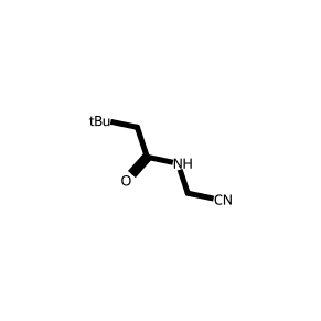 CC(C)(C)CC(=O)NCC#N